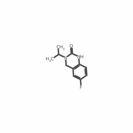 CC(C)N1Cc2cc(F)ccc2NC1=O